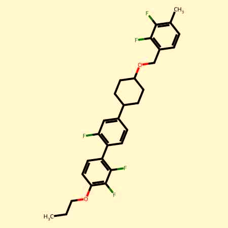 CCCOc1ccc(-c2ccc(C3CCC(OCc4ccc(C)c(F)c4F)CC3)cc2F)c(F)c1F